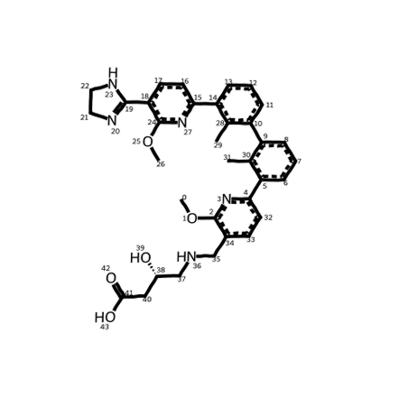 COc1nc(-c2cccc(-c3cccc(-c4ccc(C5=NCCN5)c(OC)n4)c3C)c2C)ccc1CNC[C@@H](O)CC(=O)O